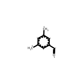 Cc1[c]c(C)cc(C=O)c1